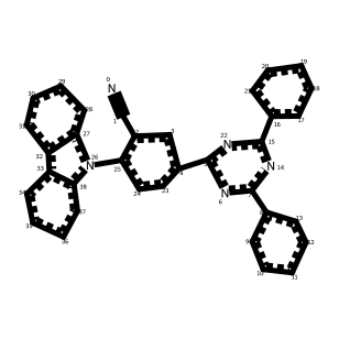 N#Cc1cc(-c2nc(-c3ccccc3)nc(-c3ccccc3)n2)ccc1-n1c2ccccc2c2ccccc21